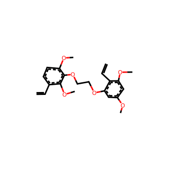 C=Cc1ccc(OC)c(OCCOc2cc(OC)cc(OC)c2C=C)c1OC